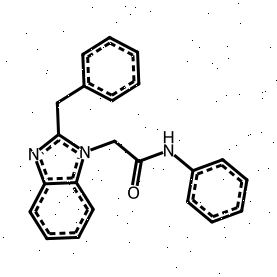 O=C(Cn1c(Cc2ccccc2)nc2ccccc21)Nc1ccccc1